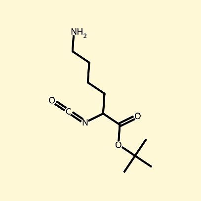 CC(C)(C)OC(=O)C(CCCCN)N=C=O